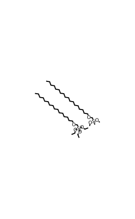 CCCCCCCCCCCCCCCCCCOC[Si](C)(OC)OC.CCCCCCCCCCCCCCCCOC[Si](OCC)(OCC)OCC